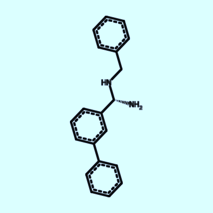 N[C@@H](NCc1ccccc1)c1cccc(-c2ccccc2)c1